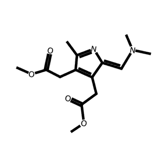 COC(=O)CC1=C(CC(=O)OC)/C(=C/N(C)C)N=C1C